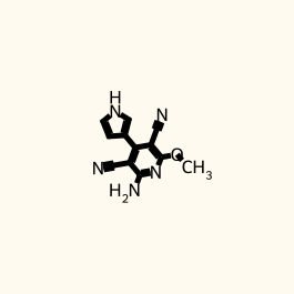 COc1nc(N)c(C#N)c(-c2cc[nH]c2)c1C#N